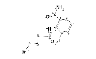 NC(=O)c1cccc(I)c1NC(=O)CCCBr